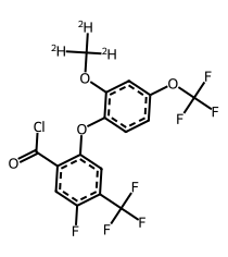 [2H]C([2H])([2H])Oc1cc(OC(F)(F)F)ccc1Oc1cc(C(F)(F)F)c(F)cc1C(=O)Cl